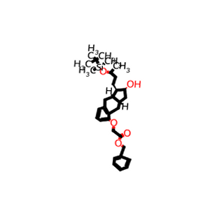 CC(CC[C@@H]1[C@H]2Cc3cccc(OCC(=O)OCc4ccccc4)c3C[C@H]2C[C@H]1O)O[Si](C)(C)C(C)(C)C